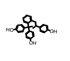 CC(Cc1ccccc1C(C)(c1ccc(O)cc1)c1ccc(O)cc1)c1ccc(O)cc1